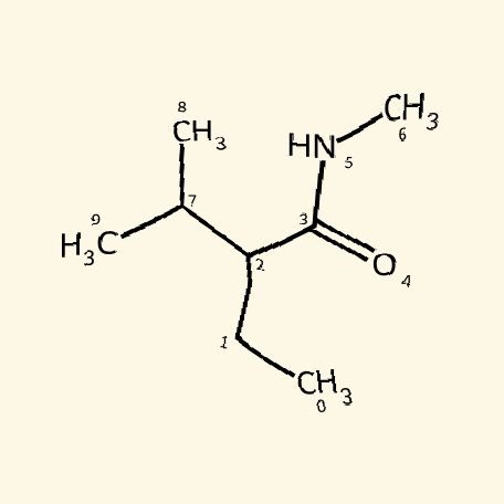 CCC(C(=O)NC)C(C)C